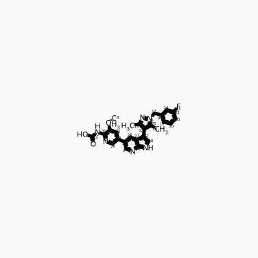 COc1cc(-c2cnc3[nH]cc(-c4c(C)nn(Cc5cccc(F)c5)c4C)c3c2)cnc1NC(=O)O